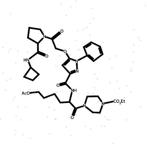 CCOC(=O)N1CCN(C(=O)C(CCCCOC(C)=O)NC(=O)c2cc(OCC(=O)N3CCCC3C(=O)NC3CCC3)n(-c3ccccc3)n2)CC1